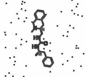 C[C@H](Cc1ccccc1)NC(=O)NC[C@@H]1Cc2ccccc2CN1C